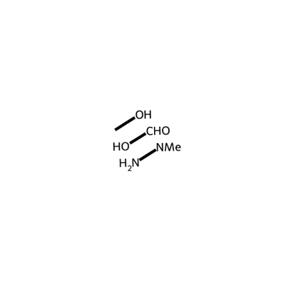 CNN.CO.O=CO